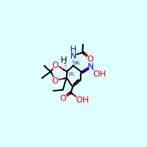 CCC12OC(C)(C)O[C@H]1[C@H](NC(C)=O)C(=NO)C=C2C(=O)O